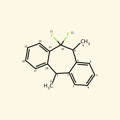 CC1c2ccccc2C(C)C(F)(F)c2ccccc21